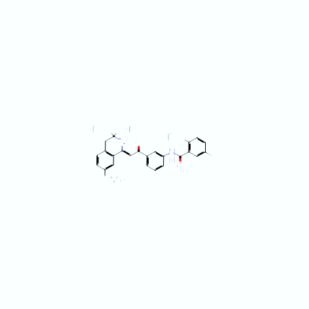 COc1ccc2c(c1)C(=CC(=O)c1cccc(NC(=O)c3cc(F)ccc3C(F)(F)F)c1)NC(C)(C)C2